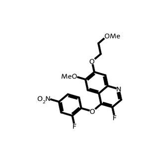 COCCOc1cc2ncc(F)c(Oc3ccc([N+](=O)[O-])cc3F)c2cc1OC